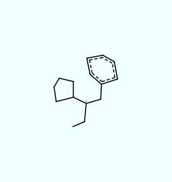 CC[C](Cc1ccccc1)C1CCCC1